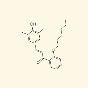 CCCCCCOc1ccccc1C(=O)/C=C/c1cc(C)c(O)c(C)c1